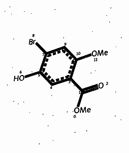 COC(=O)c1cc(O)c(Br)cc1OC